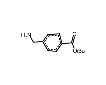 CC(C)COC(=O)c1ccc(CN)cc1